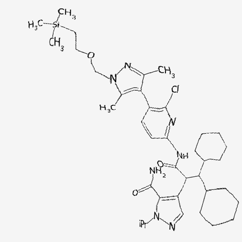 Cc1nn(COCC[Si](C)(C)C)c(C)c1-c1ccc(NC(=O)C(c2cnn(C(C)C)c2C(N)=O)C(C2CCCCC2)C2CCCCC2)nc1Cl